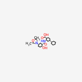 C[C@@H]1CN(c2ccc(O)c(C(=O)Nc3cc(-c4ccccc4)ccc3C(=O)O)c2)C[C@H](C)O1